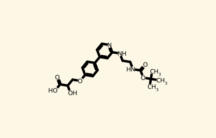 CC(C)(C)OC(=O)NCCNc1cc(-c2ccc(OCC(O)C(=O)O)cc2)ccn1